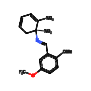 COc1ccc(OC(F)(F)F)cc1C=NC1([N+](=O)[O-])CC=CC=C1[N+](=O)[O-]